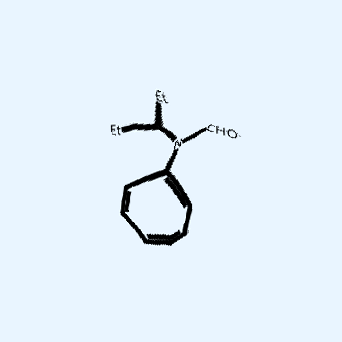 CCC(CC)N([C]=O)c1ccccc1